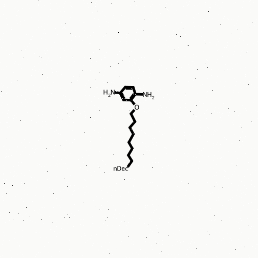 CCCCCCCCCCCCCCCCCCOc1cc(N)ccc1N